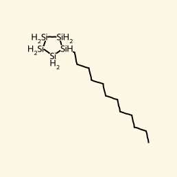 CCCCCCCCCCCC[SiH]1[SiH2][SiH2][SiH2][SiH2]1